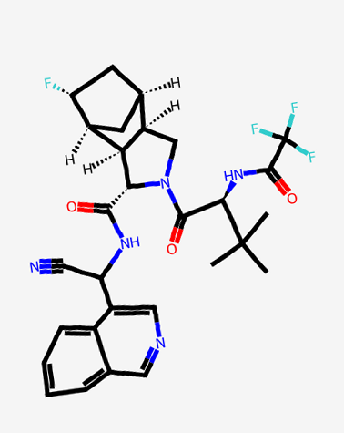 CC(C)(C)[C@H](NC(=O)C(F)(F)F)C(=O)N1C[C@@H]2[C@H]3C[C@@H]([C@@H]2[C@H]1C(=O)NC(C#N)c1cncc2ccccc12)[C@H](F)C3